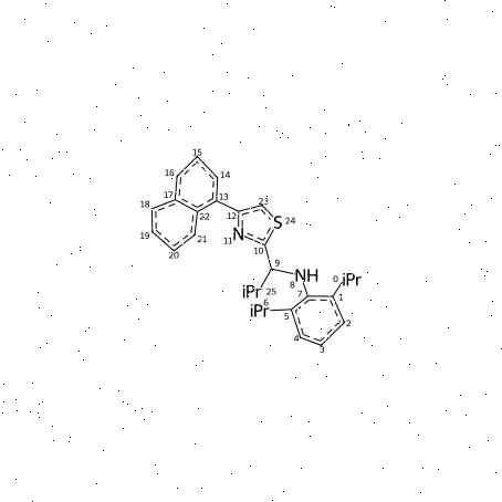 CC(C)c1cccc(C(C)C)c1NC(c1nc(-c2cccc3ccccc23)cs1)C(C)C